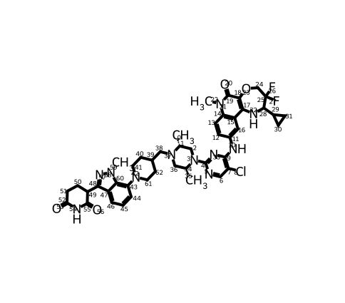 C[C@@H]1CN(c2ncc(Cl)c(Nc3ccc4c(c3)c3c(c(=O)n4C)OCC(F)(F)C(C4CC4)N3)n2)[C@@H](C)CN1CC1CCN(c2cccc3c(C4CCC(=O)NC4=O)nn(C)c23)CC1